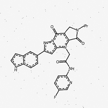 CC(C)N1Cc2c(n(CC(=O)Nc3ccc(F)cn3)c3cc(-c4ccc5[nH]ccc5c4)nn3c2=O)C1=O